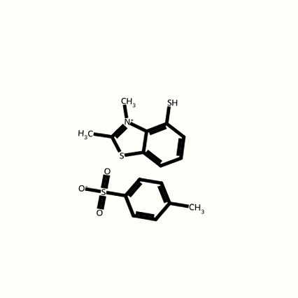 Cc1ccc(S(=O)(=O)[O-])cc1.Cc1sc2cccc(S)c2[n+]1C